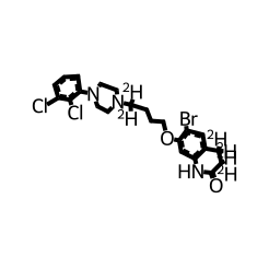 [2H]C([2H])(CCCOc1cc2c(cc1Br)C([2H])([2H])C([2H])([2H])C(=O)N2)N1CCN(c2cccc(Cl)c2Cl)CC1